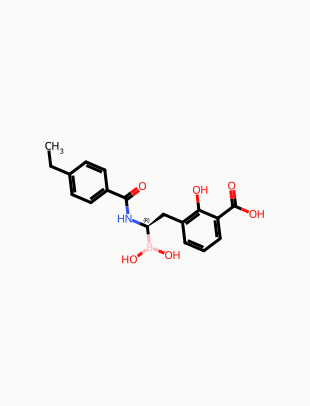 CCc1ccc(C(=O)N[C@@H](Cc2cccc(C(=O)O)c2O)B(O)O)cc1